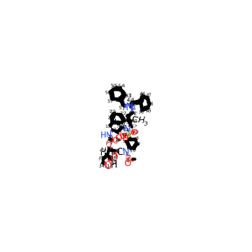 CN(B1CO1)c1cccc(S(=O)(=O)N(C[C@@H](O)[C@H](Cc2ccccc2)NC(=O)O[C@H]2CO[C@H]3OCC[C@H]32)CC(C)(C)CCN(Cc2ccccc2)Cc2ccccc2)c1